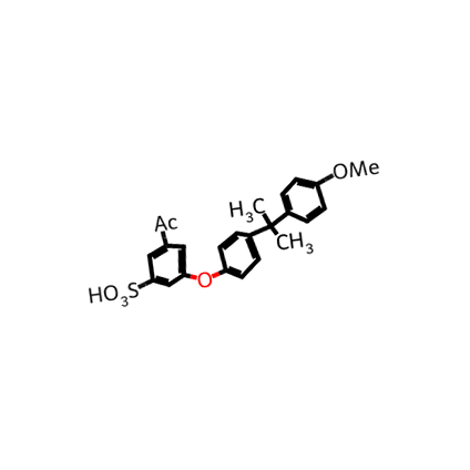 COc1ccc(C(C)(C)c2ccc(Oc3cc(C(C)=O)cc(S(=O)(=O)O)c3)cc2)cc1